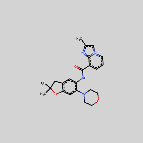 Cc1cn2cccc(C(=O)Nc3cc4c(cc3N3CCOCC3)OC(C)(C)C4)c2n1